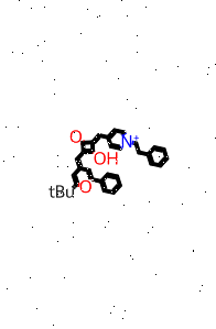 CC(C)(C)C1=CC(=CC2=C(O)C(=Cc3cc[n+](CCc4ccccc4)cc3)C2=O)C=C(c2ccccc2)O1